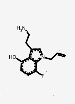 C=CCn1cc(CCN)c2c(O)ccc(F)c21